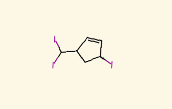 IC1C=CC(C(I)I)C1